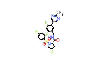 O=C(NCc1cc(-c2cnc(C(F)(F)F)nc2)c(F)cc1F)[C@@H]1C[C@@H](F)CN1S(=O)(=O)c1ccc(F)cc1